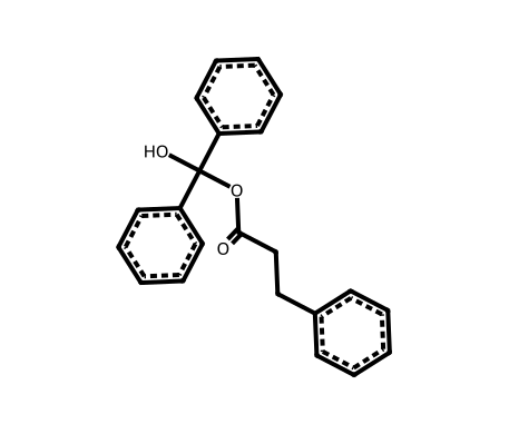 O=C(CCc1ccccc1)OC(O)(c1ccccc1)c1ccccc1